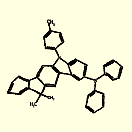 Cc1ccc(-n2c3ccc(N(c4ccccc4)c4ccccc4)cc3c3cc4c(cc32)-c2ccccc2C4(C)C)cc1